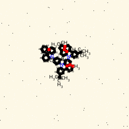 Cc1cc2c3c(c1)N(c1ccc(C(C)(C)C)cc1-c1ccccc1)c1cc4c(cc1B3c1cc(N3c5ccccc5C5(c6ccccc6)CCCCC35C)ccc1N2c1ccc(C(C)(C)C)cc1-c1ccccc1)CC(C)(C)C4